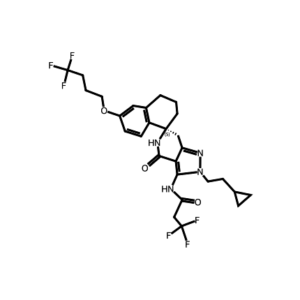 O=C(CC(F)(F)F)Nc1c2c(nn1CCC1CC1)C[C@]1(CCCc3cc(OCCCC(F)(F)F)ccc31)NC2=O